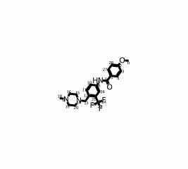 COc1ccc(C(=O)Nc2ccc(CN3CCN(C)CC3)c(C(F)(F)F)c2)cc1